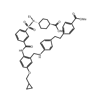 CCN([C@H]1CC[C@H](C(=O)OC)CC1)S(=O)(=O)c1cccc(C(=O)Nc2ccc(OCC3CC3)cc2CNc2ccc(CCc3ccc(C(=O)OC)cc3)cc2)c1